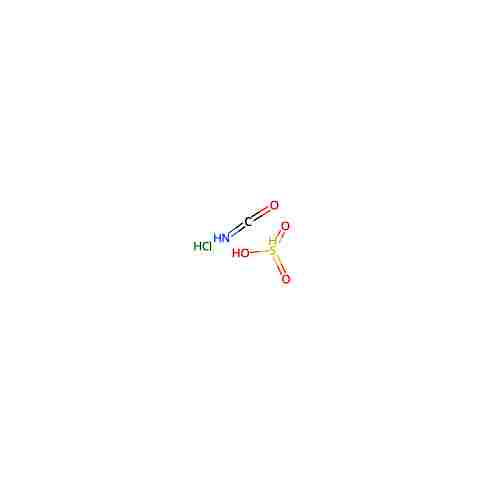 Cl.N=C=O.O=[SH](=O)O